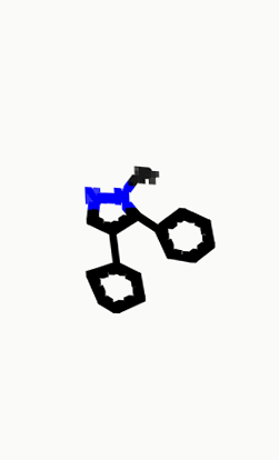 CC(C)n1ncc(-c2ccccc2)c1-c1ccccc1